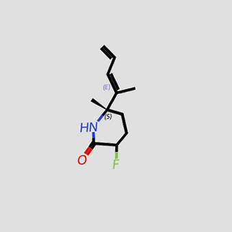 C=C/C=C(\C)[C@]1(C)CCC(F)C(=O)N1